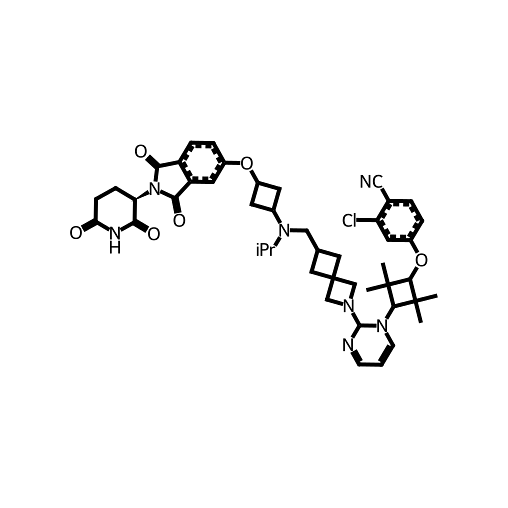 CC(C)N(CC1CC2(C1)CN(C1N=CC=CN1C1C(C)(C)C(Oc3ccc(C#N)c(Cl)c3)C1(C)C)C2)C1CC(Oc2ccc3c(c2)C(=O)N([C@@H]2CCC(=O)NC2=O)C3=O)C1